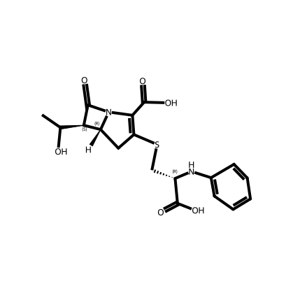 CC(O)[C@H]1C(=O)N2C(C(=O)O)=C(SC[C@H](Nc3ccccc3)C(=O)O)C[C@H]12